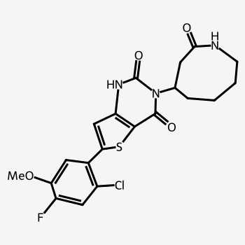 COc1cc(-c2cc3[nH]c(=O)n(C4CCCCNC(=O)C4)c(=O)c3s2)c(Cl)cc1F